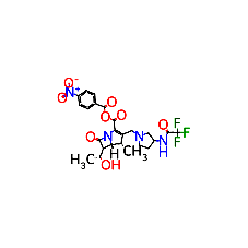 C[C@@H](O)C1C(=O)N2C(C(=O)OC(=O)c3ccc([N+](=O)[O-])cc3)=C(CN3CC[C@H](NC(=O)C(F)(F)F)C3)[C@H](C)[C@H]12